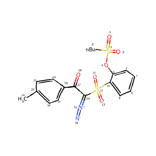 CCCCS(=O)(=O)Oc1ccccc1S(=O)(=O)C(=[N+]=[N-])C(=O)c1ccc(C)cc1